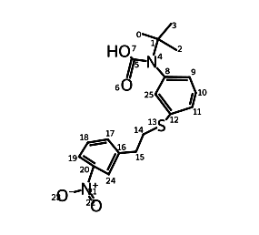 CC(C)(C)N(C(=O)O)c1cccc(SCCc2cccc([N+](=O)[O-])c2)c1